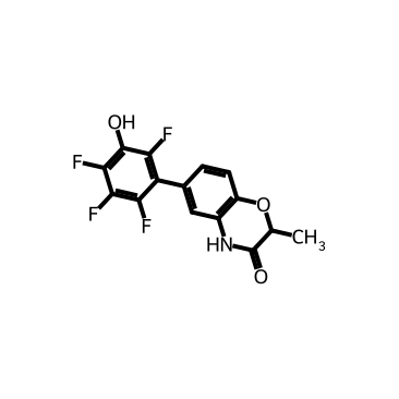 CC1Oc2ccc(-c3c(F)c(O)c(F)c(F)c3F)cc2NC1=O